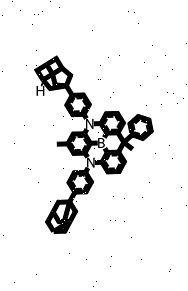 Cc1cc2c3c(c1)N(c1ccc(C45CC6CC7C[C@H](C4)C76C5)cc1)c1cccc4c1B3c1c(cccc1C4(C)c1ccccc1)N2c1ccc(C23CC4CC(CC(C4)C2)C3)cc1